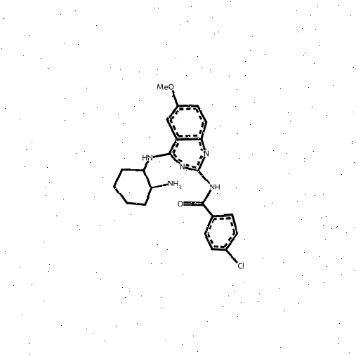 COc1ccc2nc(NC(=O)c3ccc(Cl)cc3)nc(NC3CCCCC3N)c2c1